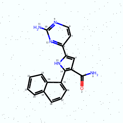 NC(=O)c1cc(-c2ccnc(N)n2)[nH]c1-c1cccc2ccccc12